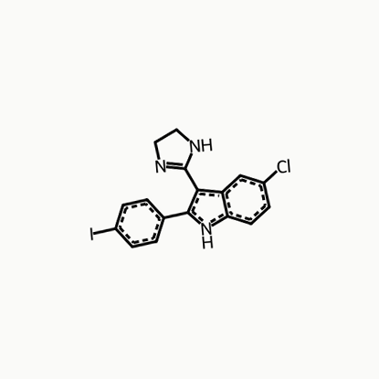 Clc1ccc2[nH]c(-c3ccc(I)cc3)c(C3=NCCN3)c2c1